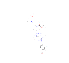 COC(=O)[C@@H]1CCCN1C[C@H]1CC[C@@H](c2nc(Br)c3c(NCc4ccc(OC)cc4OC)nccn23)CN1C(=O)OC(C)(C)C